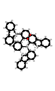 c1ccc(N(c2cccc3c2sc2ccccc23)c2cccc3c2sc2ccccc23)c(-c2ccccc2-n2c3ccccc3c3ccccc32)c1